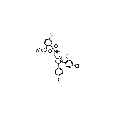 COc1ccc(Br)cc1S(=O)(=O)NCC1=NN(c2ccc(Cl)cc2Cl)C(c2ccc(Cl)cc2)C1